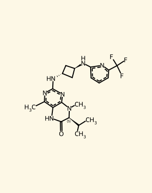 Cc1nc(N[C@H]2C[C@H](Nc3cccc(C(F)(F)F)n3)C2)nc2c1NC(=O)[C@H](C(C)C)N2C